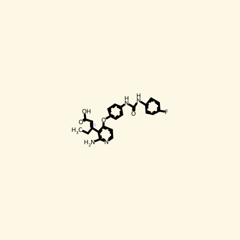 CC/C(=C\C(=O)O)c1c(Oc2ccc(NC(=O)Nc3ccc(F)cc3)cc2)ccnc1N